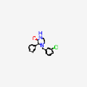 O=C1NCCN(Cc2cccc(Cl)c2)C1c1ccccc1